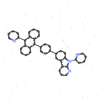 c1ccc(-c2c3ccccc3c(-c3ccc(-c4ccc5c(c4)c4cccnc4n5-c4ccccn4)cc3)c3ccccc23)nc1